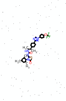 Cc1cc(C)c(N2C(=O)CS/C2=N\C(=O)NC(C)C(C)c2ccc(-c3ncn(-c4ccc(OC(F)(F)F)cc4)n3)cc2)c(C)c1